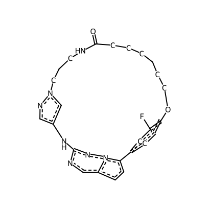 O=C1CCCCCCOc2ccc(cc2F)-c2ccc3cnc(nn23)Nc2cnn(c2)CCCN1